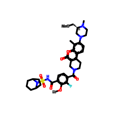 CCOc1c(C(=O)NS(=O)(=O)N2C3CCCC2CC3)ccc(C(=O)N2CCc3c(c(=O)oc4c(C)c(N5CCN(C)[C@@H](COC)C5)ccc34)C2)c1F